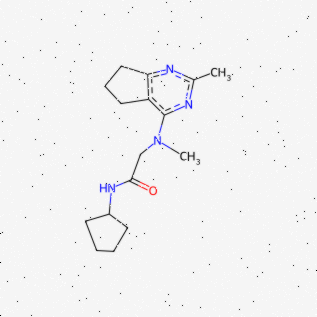 Cc1nc2c(c(N(C)CC(=O)NC3CCCC3)n1)CCC2